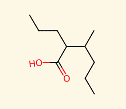 CCCC(C)C(CCC)C(=O)O